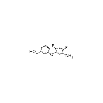 Nc1cc(Oc2cccc(CO)c2)c(F)cc1F